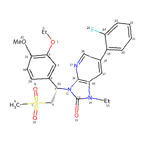 CCOc1cc([C@@H](CS(C)(=O)=O)n2c(=O)n(CC)c3cc(-c4ccccc4F)cnc32)ccc1OC